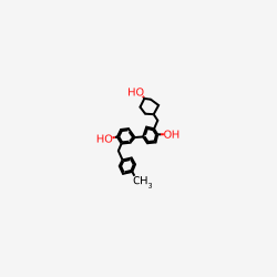 Cc1ccc(Cc2cc(-c3ccc(O)c(CC4CCC(O)CC4)c3)ccc2O)cc1